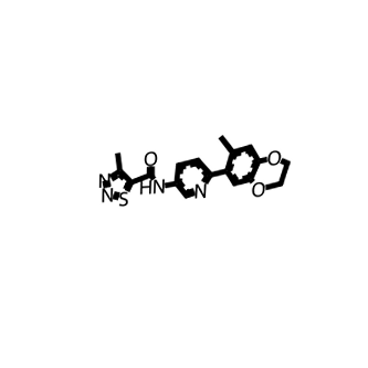 Cc1cc2c(cc1-c1ccc(NC(=O)c3snnc3C)cn1)OCCO2